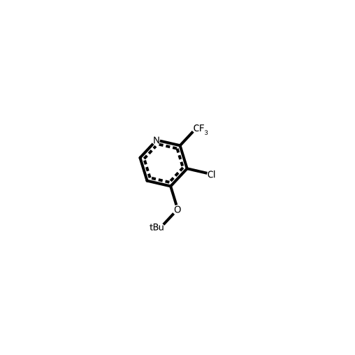 CC(C)(C)Oc1ccnc(C(F)(F)F)c1Cl